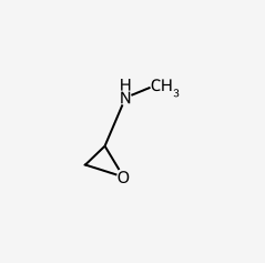 CNC1CO1